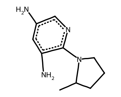 CC1CCCN1c1ncc(N)cc1N